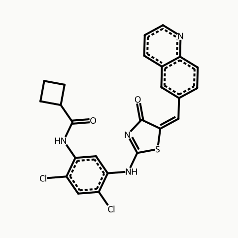 O=C1N=C(Nc2cc(NC(=O)C3CCC3)c(Cl)cc2Cl)SC1=Cc1ccc2ncccc2c1